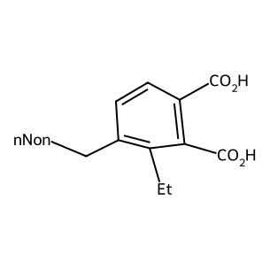 CCCCCCCCCCc1ccc(C(=O)O)c(C(=O)O)c1CC